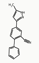 Cc1cc(-c2ccc(-c3ccccc3)c(C#N)c2)n[nH]1